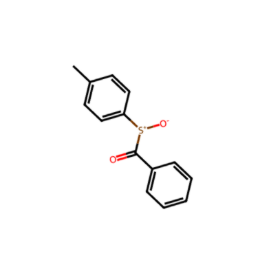 Cc1ccc([S+]([O-])C(=O)c2ccccc2)cc1